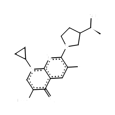 C[C@H](N)C1CCN(c2nc3c(cc2F)c(=O)c(C(=O)O)cn3C2CC2)C1